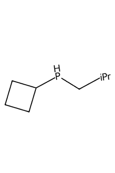 CC(C)CPC1CCC1